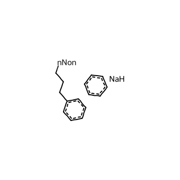 CCCCCCCCCCCCc1ccccc1.[NaH].c1ccccc1